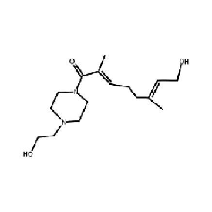 CC(=CCO)CCC=C(C)C(=O)N1CCN(CCO)CC1